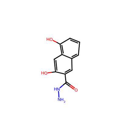 NNC(=O)c1cc2cccc(O)c2cc1O